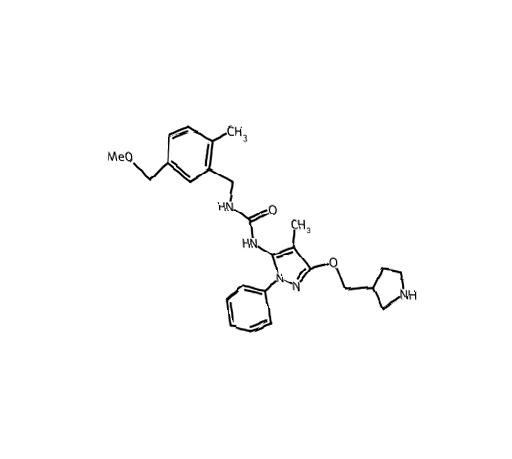 COCc1ccc(C)c(CNC(=O)Nc2c(C)c(OCC3CCNC3)nn2-c2ccccc2)c1